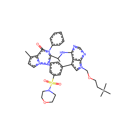 Cc1ccn2nc(C(C)Nc3ncnc4c3c(-c3cccc(S(=O)(=O)N5CCOCC5)c3)cn4COCC[Si](C)(C)C)n(-c3ccccc3)c(=O)c12